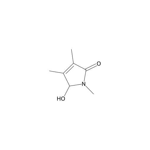 CC1=C(C)C(O)N(C)C1=O